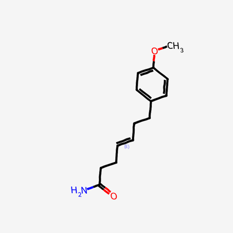 COc1ccc(CC/C=C/CCC(N)=O)cc1